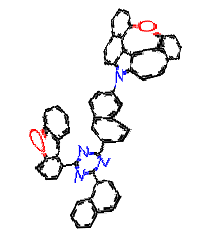 c1ccc2c(-c3nc(-c4ccc5cc(-n6c7ccc8cccc9oc%10cccc%11ccc6c(c%11%10)c7c89)ccc5c4)nc(-c4cccc5oc6ccccc6c45)n3)cccc2c1